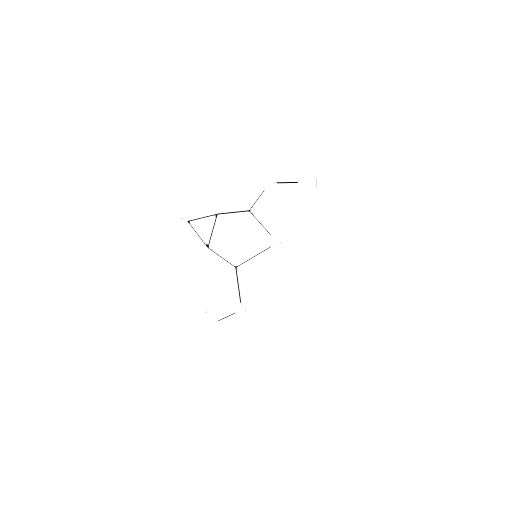 COC1OC(OC)C2CC12